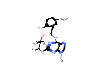 CCC(Nc1nc(NCc2cc(OC)ccc2N)c2ncn(CC)c2n1)C(C)(C)O